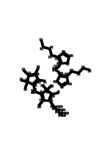 CC1=C(C)C(C)(C)[C]([Zr][C]2=C(C)C(C)=C(C)C2(C)C)=C1C.CCCCC1=[C]([Hf][C]2=C(CCCC)C=CC2)CC=C1.Cl.Cl.Cl